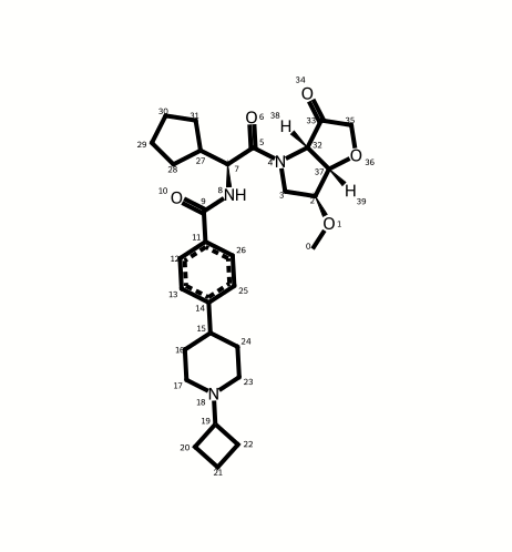 CO[C@H]1CN(C(=O)[C@@H](NC(=O)c2ccc(C3CCN(C4CCC4)CC3)cc2)C2CCCC2)[C@@H]2C(=O)CO[C@H]12